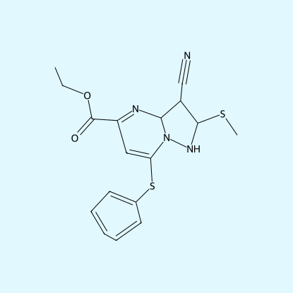 CCOC(=O)C1=NC2C(C#N)C(SC)NN2C(Sc2ccccc2)=C1